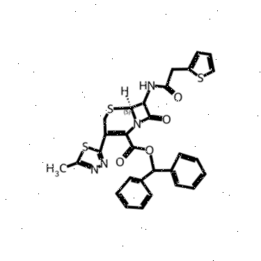 Cc1nnc(C2=C(C(=O)OC(c3ccccc3)c3ccccc3)N3C(=O)C(NC(=O)Cc4cccs4)[C@@H]3SC2)s1